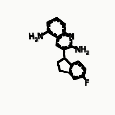 Nc1nc2cccc(N)c2cc1C1CCc2cc(F)ccc21